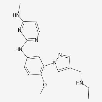 CCNCc1cnn(-c2cc(Nc3nccc(NC)n3)ccc2OC)c1